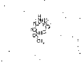 CCCC(=O)Nc1cncc(-c2cc3c(-c4cc5c(-c6ccsc6)cccc5[nH]4)n[nH]c3cn2)c1